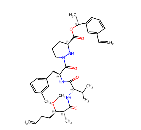 C=CCC[C@@H](OC)[C@@H](C)C(=O)N[C@H](C(=O)N[C@@H](Cc1cccc(C)c1)C(=O)N1CCC[C@@H](C(=O)O[C@H](C)c2cccc(C=C)c2)N1)C(C)C